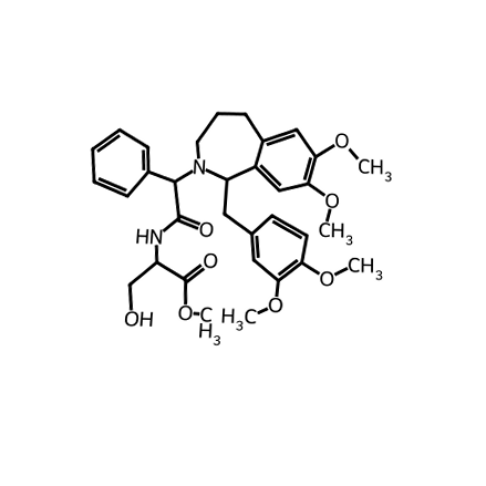 COC(=O)C(CO)NC(=O)C(c1ccccc1)N1CCCc2cc(OC)c(OC)cc2C1Cc1ccc(OC)c(OC)c1